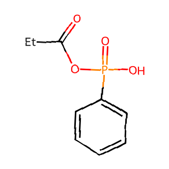 CCC(=O)OP(=O)(O)c1ccccc1